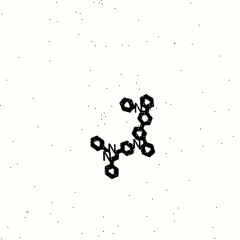 c1ccc(-c2cc(-c3ccc(-n4c5ccccc5c5cc(C6CCc7c(n(-c8ccccc8)c8ccccc78)C6)ccc54)cc3)nc(-c3ccccc3)n2)cc1